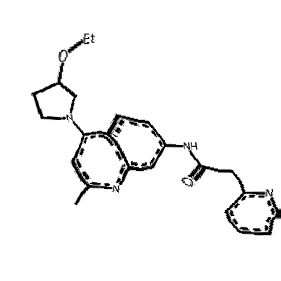 CCOC1CCN(c2cc(C)nc3cc(NC(=O)Cc4ccccn4)ccc23)C1